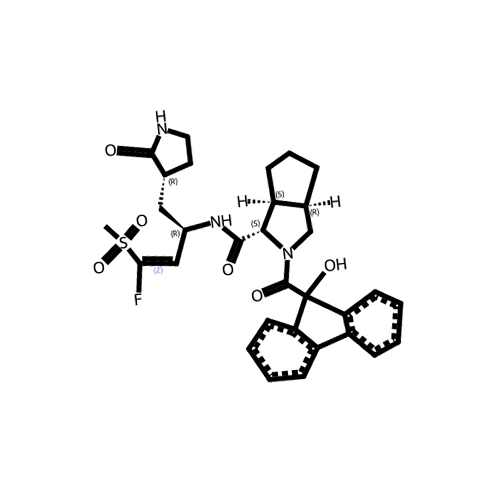 CS(=O)(=O)/C(F)=C\[C@@H](C[C@H]1CCNC1=O)NC(=O)[C@@H]1[C@H]2CCC[C@H]2CN1C(=O)C1(O)c2ccccc2-c2ccccc21